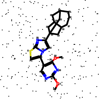 COc1ncc(-c2csc3nc(C45CC6CCCC(C4)C(C6)C5)cn23)c(OC)n1